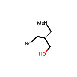 CNC[C@H](CO)CC#N